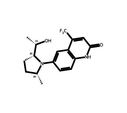 C[C@H](O)[C@H]1CC[C@@H](C)N1c1ccc2[nH]c(=O)cc(C(F)(F)F)c2c1